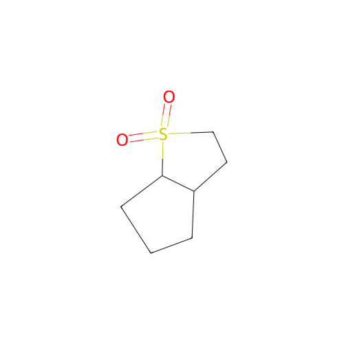 O=S1(=O)CCC2CCCC21